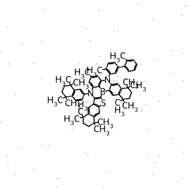 Cc1cc2c3c(c1)N(c1ccc4c(c1)C(C)(C)CCC4(C)C)c1c(sc4cc5c(cc14)C(C)(C)CCC5(C)C)B3c1cc3c(cc1N2c1cc(-c2ccccc2C)ccc1C)C(C)(C)CCC3(C)C